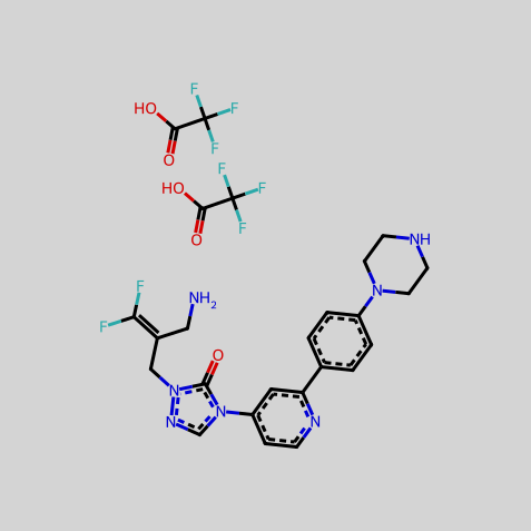 NCC(Cn1ncn(-c2ccnc(-c3ccc(N4CCNCC4)cc3)c2)c1=O)=C(F)F.O=C(O)C(F)(F)F.O=C(O)C(F)(F)F